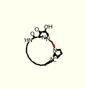 O=C1NCCCCCCCc2cnc3c(ccn3C3(CCCC3)Cn3cc(O)c(=O)c1n3)c2